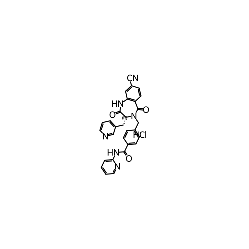 Cl.N#Cc1ccc2c(c1)NC(=O)[C@@H](Cc1cccnc1)N(Cc1ccc(C(=O)Nc3ccccn3)cc1)C2=O